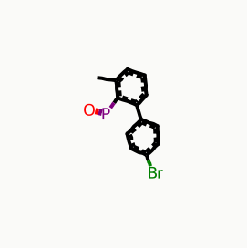 Cc1cccc(-c2ccc(Br)cc2)c1P=O